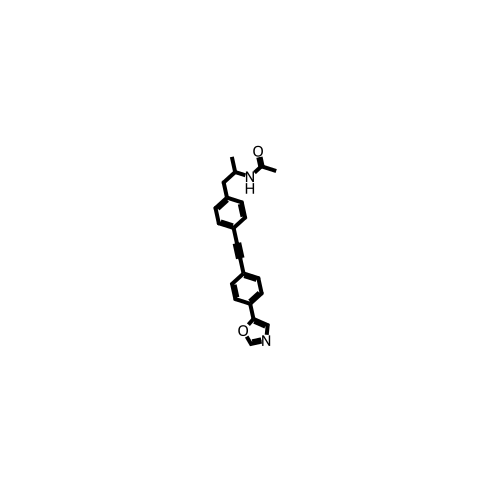 CC(=O)NC(C)Cc1ccc(C#Cc2ccc(-c3cnco3)cc2)cc1